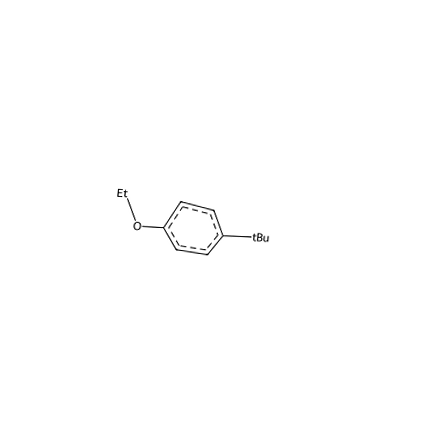 [CH2]C(C)(C)c1ccc(OCC)cc1